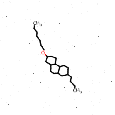 CCCCCCCOC1CCC2C(CCC3CC(CCCC)CCC32)C1